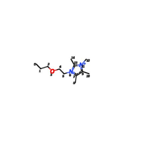 CCCOCCn1c(C)c(C)[n+](C)c1C